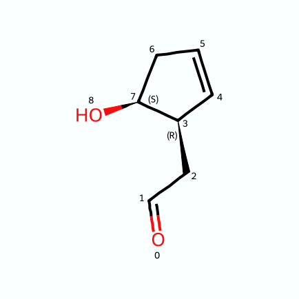 O=CC[C@@H]1C=CC[C@@H]1O